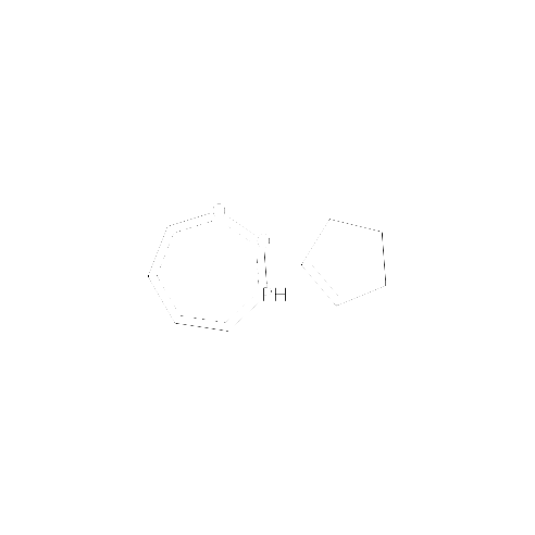 C1=CCCC1.c1cc[pH]ooc1